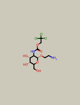 NCCO[C@@H]1OC(CO)[C@H](O)[C@H](O)C1NC(=O)OCC(Cl)(Cl)Cl